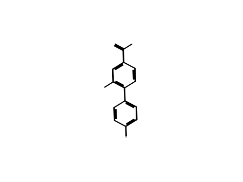 NC(=O)c1ccc(-c2ccc(F)cc2)c(F)c1